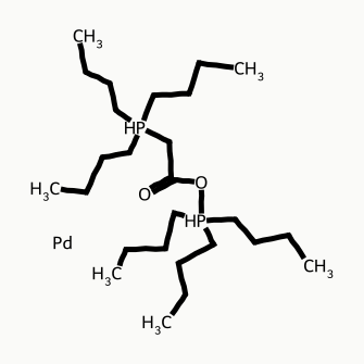 CCCC[PH](CCCC)(CCCC)CC(=O)O[PH](CCCC)(CCCC)CCCC.[Pd]